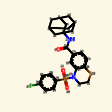 O=C(NC12CC3CC(CC(C3)C1)C2)c1ccc2c(c1)N(S(=O)(=O)c1ccc(F)cc1)CCS2